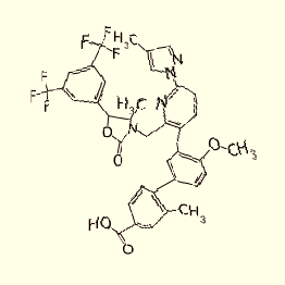 COc1ccc(-c2ccc(C(=O)O)cc2C)cc1-c1ccc(-n2cc(C)cn2)nc1CN1C(=O)OC(c2cc(C(F)(F)F)cc(C(F)(F)F)c2)C1C